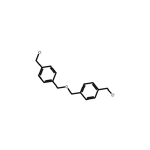 ClCc1ccc(COCc2ccc(CCl)cc2)cc1